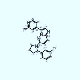 Fc1cccc(C2CCCN2c2ccc3ncc(-c4ccnc(F)c4)n3n2)c1